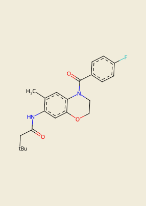 Cc1cc2c(cc1NC(=O)CC(C)(C)C)OCCN2C(=O)c1ccc(F)cc1